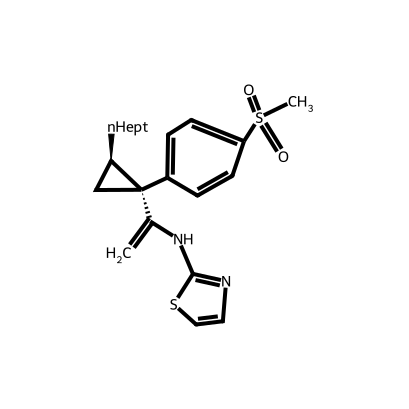 C=C(Nc1nccs1)[C@]1(c2ccc(S(C)(=O)=O)cc2)C[C@H]1CCCCCCC